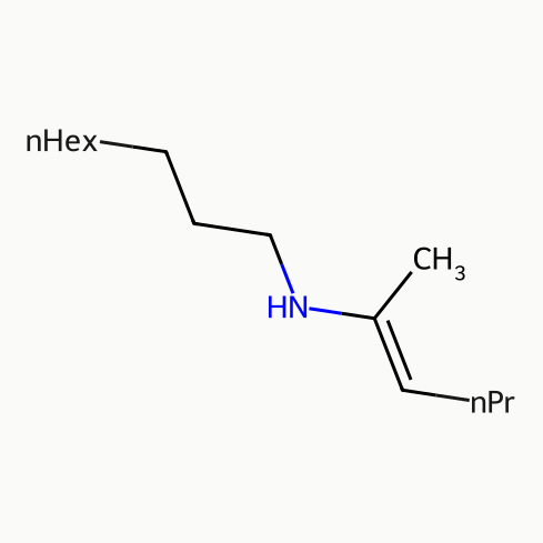 CCC/C=C(\C)NCCCCCCCCC